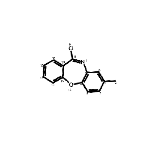 Cc1ccc2c(c1)N=C(Cl)c1ccccc1O2